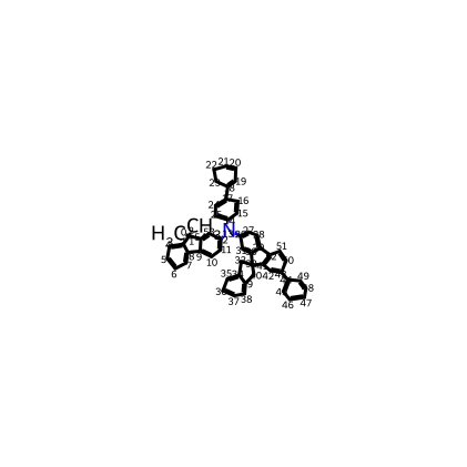 CC1(C)c2ccccc2-c2ccc(N(c3ccc(C4=CC=CCC4)cc3)c3ccc4c(c3)C3(Cc5ccccc5C3)c3cc(-c5ccccc5)ccc3-4)cc21